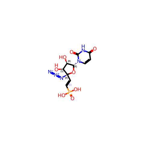 [N-]=[N+]=N[C@]1(/C=C/P(=O)(O)O)O[C@@H](n2ccc(=O)[nH]c2=O)[C@H](O)[C@@H]1O